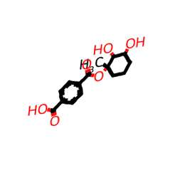 CC1(OC(=O)c2ccc(C(=O)O)cc2)CCCC(O)C1O